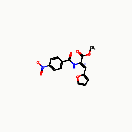 COC(=O)/C(=C/c1ccco1)NC(=O)c1ccc([N+](=O)[O-])cc1